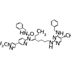 C#Cc1cnc(NCCCC/C(=C/N(C(=O)NCc2ccccc2)c2ccc(-c3cnn(C)c3)cn2)CCC)nc1NCc1ccccc1